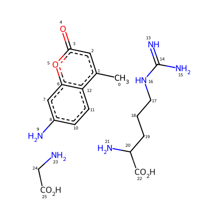 Cc1cc(=O)oc2cc(N)ccc12.N=C(N)NCCCC(N)C(=O)O.NCC(=O)O